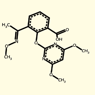 CON=C(C)c1cccc(C(=O)O)c1Oc1nc(OC)cc(OC)n1